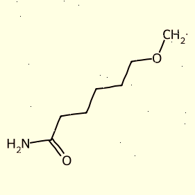 [CH2]OCCCCCC(N)=O